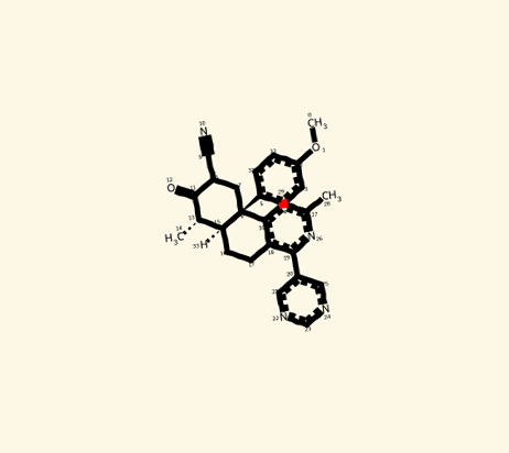 COc1ccc([C@]23CC(C#N)C(=O)[C@@H](C)[C@@H]2CCc2c(-c4cncnc4)nc(C)nc23)cc1